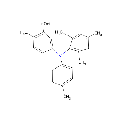 CCCCCCCCc1cc(N(c2ccc(C)cc2)c2c(C)cc(C)cc2C)ccc1C